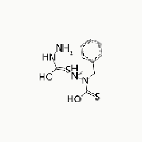 NN(Cc1ccccc1)C(O)=S.NNC(O)=S